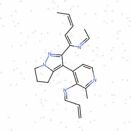 C=C/C=N\c1c(-c2c(C(=C/C=C\C)/N=C\C)nn3c2CCC3)ccnc1C